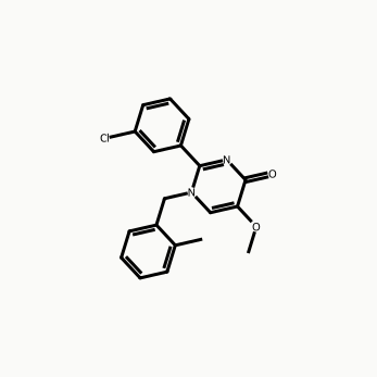 COc1cn(Cc2ccccc2C)c(-c2cccc(Cl)c2)nc1=O